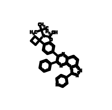 CC(C)(C)N(C(=O)O)C1(c2ccc(-c3nc4ccc5nnc(-c6ccncc6)n5c4nc3-c3ccccc3)cc2)CCC1